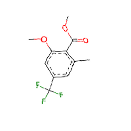 COC(=O)c1c(C)cc(C(F)(F)F)cc1OC